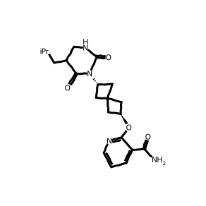 CC(C)CC1CNC(=O)N([C@H]2CC3(C[C@H](Oc4ncccc4C(N)=O)C3)C2)C1=O